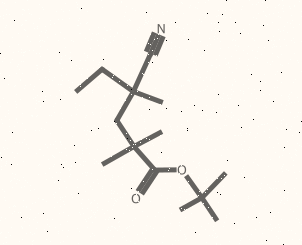 CCC(C)(C#N)CC(C)(C)C(=O)OC(C)(C)C